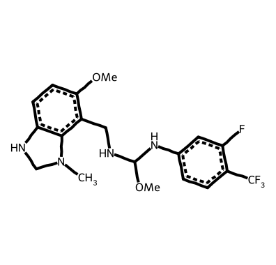 COc1ccc2c(c1CNC(Nc1ccc(C(F)(F)F)c(F)c1)OC)N(C)CN2